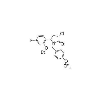 CCOc1cc(F)ccc1[C@@H]1C[C@H](Cl)C(=O)N1Cc1ccc(OC(F)(F)F)cc1